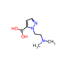 CN(C)CCn1nccc1B(O)O